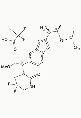 COC[C@H](c1cnn2cc([C@@H](N)[C@@H](C)O[C@H](C)C(F)(F)F)nc2c1)N1CC(F)(F)CNC1=O.O=C(O)C(F)(F)F